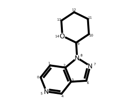 c1cc2c(cn1)cnn2C1CCCCO1